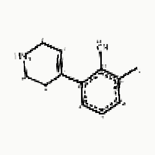 Cc1cccc(C2=CCNCC2)c1C#N